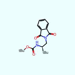 CC(C)(C)OC(=O)N[C@@H](CN1C(=O)c2ccccc2C1=O)C(C)(C)C